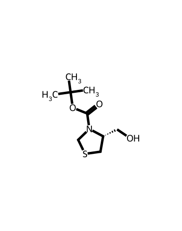 CC(C)(C)OC(=O)N1CSC[C@H]1CO